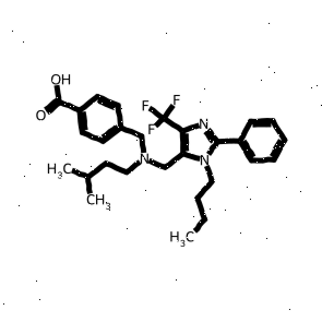 CCCCn1c(-c2ccccc2)nc(C(F)(F)F)c1CN(CCC(C)C)Cc1ccc(C(=O)O)cc1